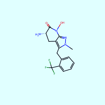 Cn1nc2c(c1Cc1ccccc1C(F)(F)F)C[C@H](N)C(=O)N2O